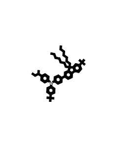 CCCCCCCC1(CCCCCCC)c2cc(-c3ccc(N(c4ccc(C(C)CC)cc4)c4ccc(C(C)(C)C)cc4)cc3)ccc2-c2ccc(C(C)(C)C)cc21